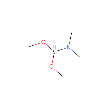 CO[SiH](OC)N(C)C